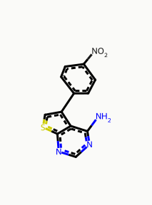 Nc1ncnc2scc(-c3ccc([N+](=O)[O-])cc3)c12